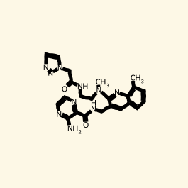 Cc1cccc2cc(CNC(=O)c3nccnc3N)c(N(C)CCNC(=O)Cn3ccnn3)nc12